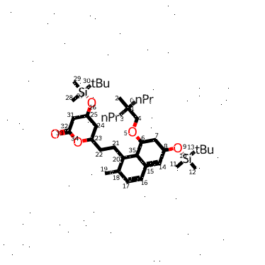 CCCC(C)(CCC)COC1CC(O[Si](C)(C)C(C)(C)C)C=C2C=CC(C)C(CCC3CC(O[Si](C)(C)C(C)(C)C)CC(=O)O3)C21